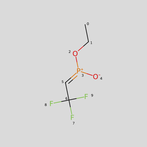 CCO/[P+]([O-])=C/C(F)(F)F